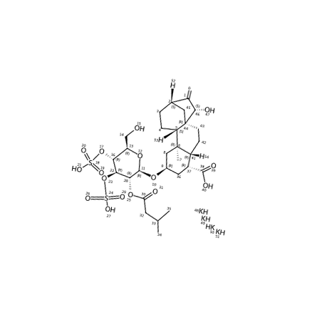 C=C1[C@H]2CC[C@H]3[C@]4(C)C[C@H](O[C@@H]5O[C@H](CO)[C@@H](OS(=O)(=O)O)[C@H](OS(=O)(=O)O)[C@H]5OC(=O)CC(C)C)C[C@@H](C(=O)O)[C@H]4CC[C@]3(C2)[C@H]1O.[KH].[KH].[KH].[KH]